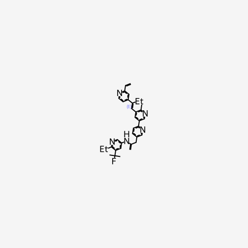 C=Cc1cc(/C(=C/c2cc(-c3ccc(CC(=C)Nc4cnc(CC)c(C(C)(C)F)c4)cn3)cnc2C)CC)ccn1